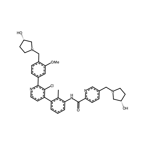 COc1cc(-c2nccc(-c3cccc(NC(=O)c4ccc(CN5CC[C@H](O)C5)cn4)c3C)c2Cl)ccc1CN1CC[C@H](O)C1